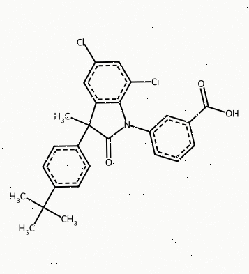 CC(C)(C)c1ccc(C2(C)C(=O)N(c3cccc(C(=O)O)c3)c3c(Cl)cc(Cl)cc32)cc1